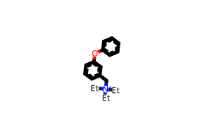 CC[N+](CC)(CC)Cc1cccc(Oc2ccccc2)c1